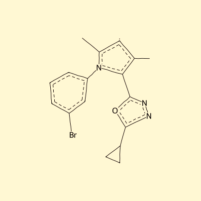 Cc1[c]c(C)n(-c2cccc(Br)c2)c1-c1nnc(C2CC2)o1